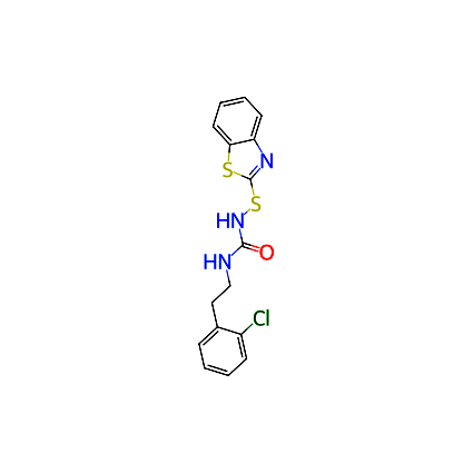 O=C(NCCc1ccccc1Cl)NSc1nc2ccccc2s1